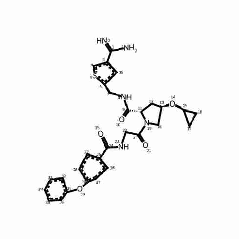 N=C(N)c1csc(CNC(=O)[C@@H]2C[C@@H](OC3CC3)CN2C(=O)CNC(=O)c2ccc(Oc3ccccc3)cc2)c1